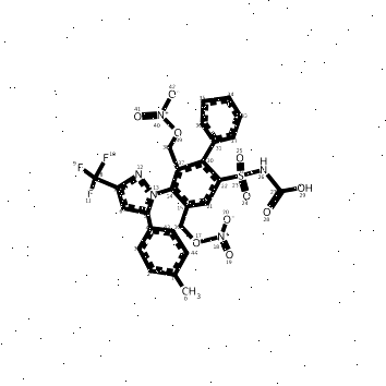 Cc1ccc(-c2cc(C(F)(F)F)nn2-c2c(CO[N+](=O)[O-])cc(S(=O)(=O)NC(=O)O)c(-c3ccccc3)c2CO[N+](=O)[O-])cc1